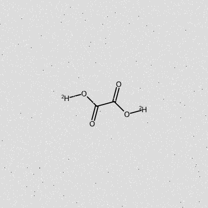 [2H]OC(=O)C(=O)O[2H]